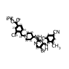 Cc1cc(C#N)cc(C)c1Nc1nc(NC2CCN(Cc3ccc(C(=O)OC(C)C)cc3Cl)CC2)ncc1Br